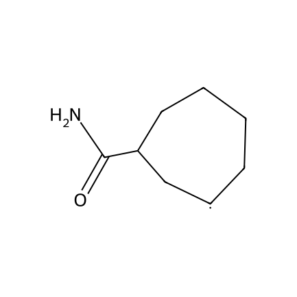 NC(=O)C1C[CH]CCCC1